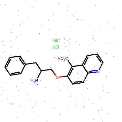 Cl.Cl.NC(COc1ccc2ncccc2c1C(=O)O)Cc1ccccc1